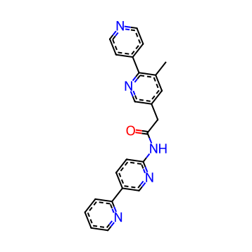 Cc1cc(CC(=O)Nc2ccc(-c3ccccn3)cn2)cnc1-c1ccncc1